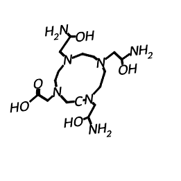 NC(O)CN1CCN(CC(=O)O)CCN(CC(N)O)CCN(CC(N)O)CC1